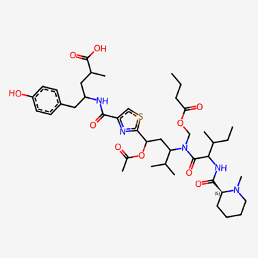 CCCC(=O)OCN(C(=O)C(NC(=O)[C@@H]1CCCCN1C)C(C)CC)C(CC(OC(C)=O)c1nc(C(=O)NC(Cc2ccc(O)cc2)CC(C)C(=O)O)cs1)C(C)C